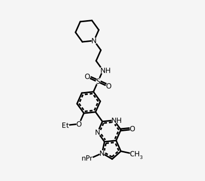 CCCn1cc(C)c2c(=O)[nH]c(-c3cc(S(=O)(=O)NCCN4CCCCC4)ccc3OCC)nc21